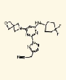 N#CCc1ccn(-c2nc(NC3CCC(F)(F)CC3)cc(N3CC4(COC4)C3)n2)n1